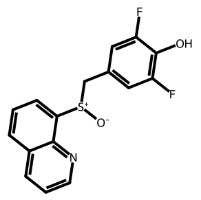 [O-][S+](Cc1cc(F)c(O)c(F)c1)c1cccc2cccnc12